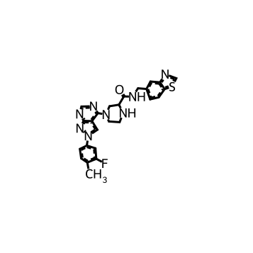 Cc1ccc(-n2cc3c(N4CCNC(C(=O)NCc5ccc6scnc6c5)C4)ncnc3n2)cc1F